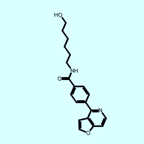 O=C(NCCCCCCO)c1ccc(-c2nccc3occc23)cc1